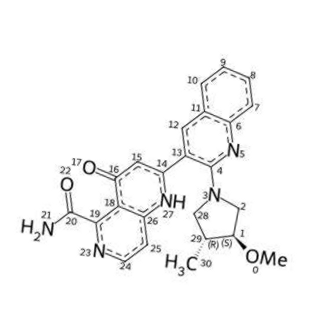 CO[C@@H]1CN(c2nc3ccccc3cc2-c2cc(=O)c3c(C(N)=O)nccc3[nH]2)C[C@H]1C